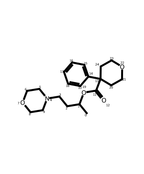 CC(CCN1CCOCC1)OC(=O)C1(c2ccccc2)CCOCC1